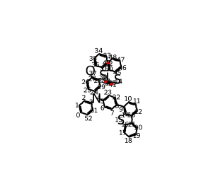 c1ccc(N(c2ccc(-c3cccc4c3sc3ccccc34)cc2)c2ccc3c(c2)[Si]2(c4ccccc4O3)c3ccccc3Sc3ccccc32)cc1